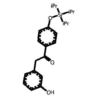 CC(C)[Si](Oc1ccc(C(=O)Cc2cccc(O)c2)cc1)(C(C)C)C(C)C